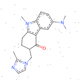 Cc1nccn1CC1CCc2c(c3cc(N(C)C)ccc3n2C)C1=O